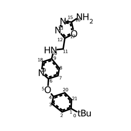 CC(C)(C)c1ccc(Oc2ccc(NCc3nnc(N)o3)cn2)cc1